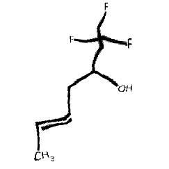 CC=CCC(O)C(F)(F)F